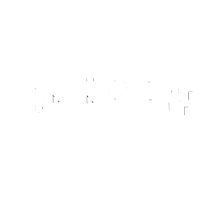 CC(C)(C)OC(=O)N1CCC(N(C(=O)c2ccc(-c3ccc(OC(F)(F)F)cc3)cc2)C2CC2)CC1